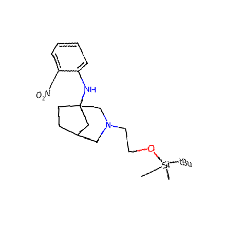 CC(C)(C)[Si](C)(C)OCCN1CC2CCC(Nc3ccccc3[N+](=O)[O-])(C2)C1